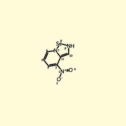 O=[N+]([O-])C1=CC=CN2[Se]NC=C12